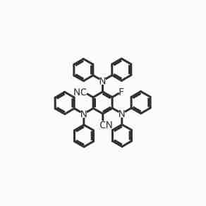 N#Cc1c(N(c2ccccc2)c2ccccc2)c(F)c(N(c2ccccc2)c2ccccc2)c(C#N)c1N(c1ccccc1)c1ccccc1